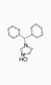 Cl.c1ccc(C(c2ccccc2)n2ccnc2)cc1